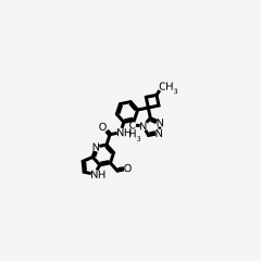 CC1CC(c2cccc(NC(=O)c3cc(C=O)c4[nH]ccc4n3)c2)(c2nncn2C)C1